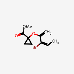 C=C(OC1(C(=O)OC)CC1)/C(Br)=C\C